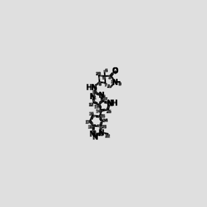 CN(C)C(=O)C1(C)CC(Nc2ncc3c(-c4ccc5nnn(C)c5c4)c[nH]c3n2)C1